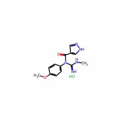 CNC(=N)N(C(=O)c1cn[nH]c1)c1ccc(OC)cc1.Cl